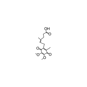 COC1=C(OC)C(=O)C(CC=C(C)CCC(=O)O)=C(C)C1=O